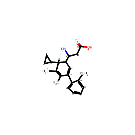 CC1=C(C)C(F)(C2CC2)C(C(N)CC(=O)O)C=C1c1ccccc1C